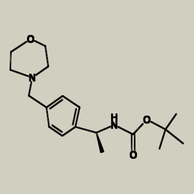 C[C@H](NC(=O)OC(C)(C)C)c1ccc(CN2CCOCC2)cc1